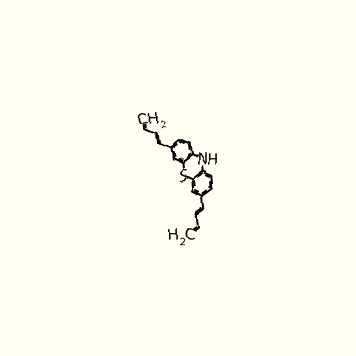 C=CC=Cc1ccc2c(c1)Sc1cc(C=CC=C)ccc1N2